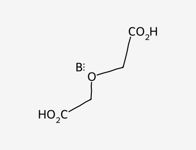 O=C(O)COCC(=O)O.[B]